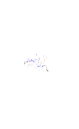 CC1=C(C(=O)Nc2ccc(O)cc2)C(c2ccccc2Cl)N=C(Nc2nc3ccccc3o2)N1